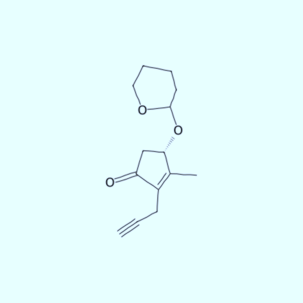 C#CCC1=C(C)[C@@H](OC2CCCCO2)CC1=O